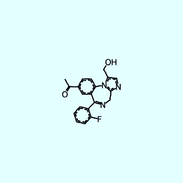 CC(=O)c1ccc2c(c1)C(c1ccccc1F)=NCc1ncc(CO)n1-2